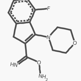 N=C(ON)C1=C(N2CCOCC2)c2c(F)cccc2C1